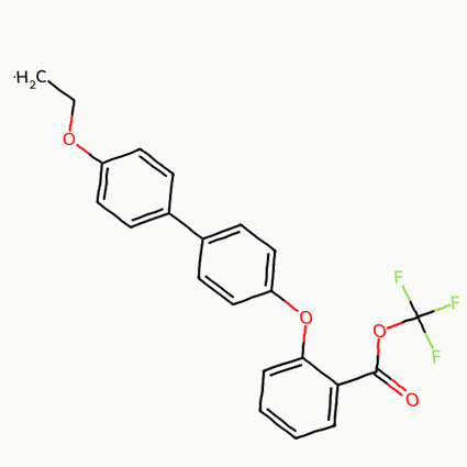 [CH2]COc1ccc(-c2ccc(Oc3ccccc3C(=O)OC(F)(F)F)cc2)cc1